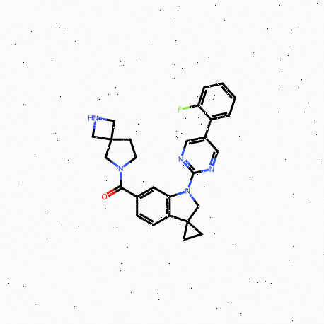 O=C(c1ccc2c(c1)N(c1ncc(-c3ccccc3F)cn1)CC21CC1)N1CCC2(CNC2)C1